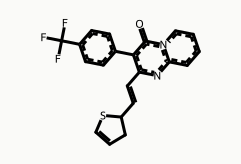 O=c1c(-c2ccc(C(F)(F)F)cc2)c(/C=C/C2CC=CS2)nc2ccccn12